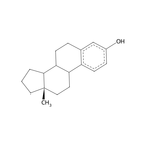 C[C@@]12[CH]CCC1C1CCc3cc(O)ccc3C1CC2